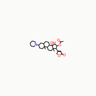 CC(=O)OC1CC2(O)C3CCC4CC(N5CCCCC5)CCC4(C)C3CCC2(C)C1C1=CC(=O)OC1